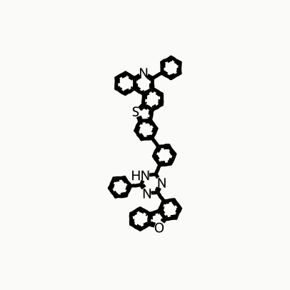 c1ccc(C2=NC(c3cccc4oc5ccccc5c34)=NC(c3cccc(-c4ccc5sc6c(ccc7c(-c8ccccc8)nc8ccccc8c76)c5c4)c3)N2)cc1